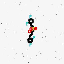 O=C(C=Cc1ccc(F)cc1F)CS(=O)(=O)C=Cc1ccc(F)cc1F